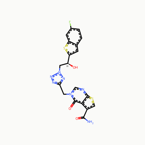 NC(=O)c1csc2ncn(Cc3nnn(C[C@H](O)c4cc5ccc(F)cc5s4)n3)c(=O)c12